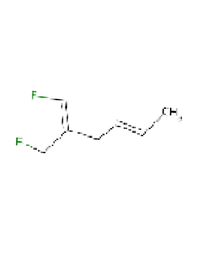 CC=CCC(=CF)CF